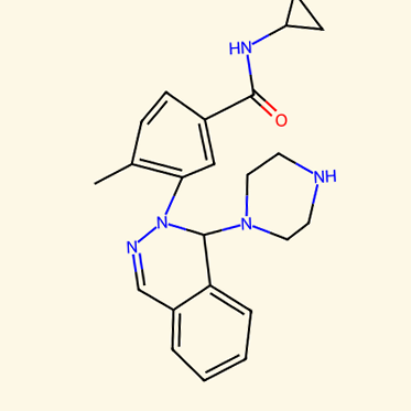 Cc1ccc(C(=O)NC2CC2)cc1N1N=Cc2ccccc2C1N1CCNCC1